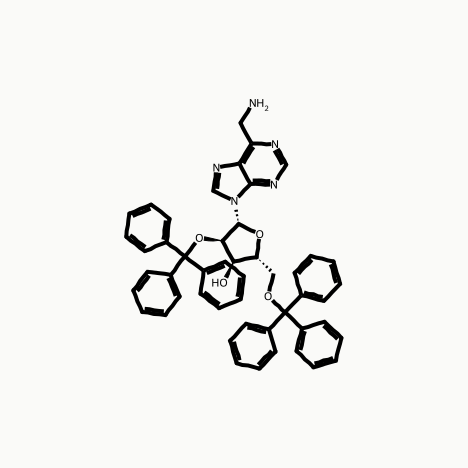 NCc1ncnc2c1ncn2[C@@H]1O[C@H](COC(c2ccccc2)(c2ccccc2)c2ccccc2)[C@@H](O)[C@H]1OC(c1ccccc1)(c1ccccc1)c1ccccc1